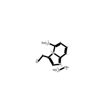 CCOC(=O)c1cccc2ncc(CCl)n12.O=S(=O)(O)O